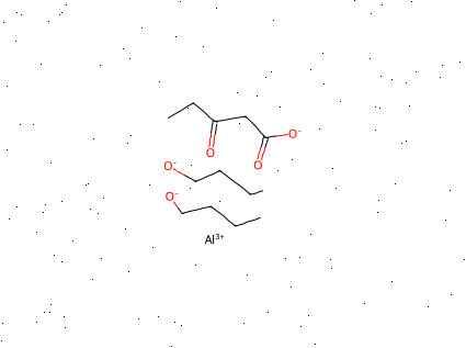 CCC(=O)CC(=O)[O-].CCCC[O-].CCCC[O-].[Al+3]